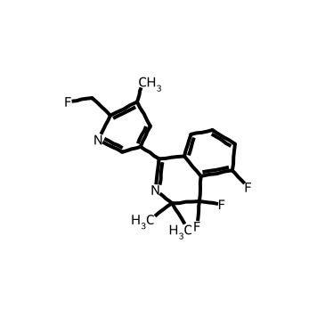 Cc1cc(C2=NC(C)(C)C(F)(F)c3c(F)cccc32)cnc1CF